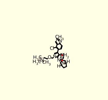 Cn1cc2c(Cl)c(-c3cn(COCC[Si](C)(C)C)c4nc(N5[C@@H]6CC[C@H]5C[C@H](CN)C6)cnc34)ccc2n1